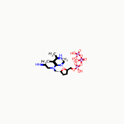 C/C=N\C(=C(\C)C(C)=N)N(CC=N)C[C@H]1CCC(COP(=O)(O)OP(=O)(O)OP(=O)(O)O)O1